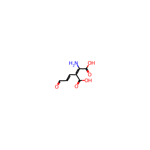 NC(C(=O)O)=C(C=CC=O)C(=O)O